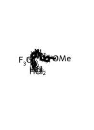 COCCc1ccc2ccc(-c3nnc4ccc([C@@H](N5CCC(N)C5)C(F)(F)F)cn34)nc2c1.Cl.Cl